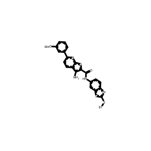 CCSc1nc2ccc(NC(=O)c3sc4nc(-c5cccc(OC)c5)ccc4c3N)cc2s1